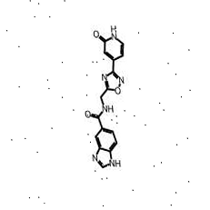 O=C(NCc1nc(-c2cc[nH]c(=O)c2)no1)c1ccc2[nH]cnc2c1